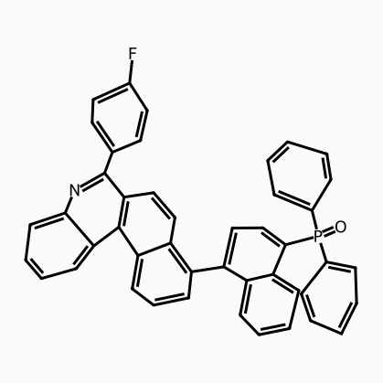 O=P(c1ccccc1)(c1ccccc1)c1ccc(-c2cccc3c2ccc2c(-c4ccc(F)cc4)nc4ccccc4c23)c2ccccc12